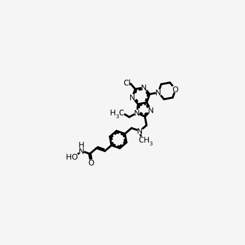 CCn1c(CN(C)Cc2ccc(C=CC(=O)NO)cc2)nc2c(N3CCOCC3)nc(Cl)nc21